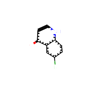 O=c1c#c[nH]c2ccc(Br)cc12